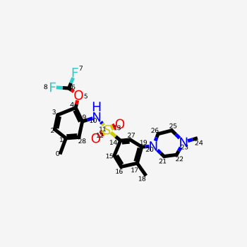 Cc1ccc(OC(F)F)c(NS(=O)(=O)c2ccc(C)c(N3CCN(C)CC3)c2)c1